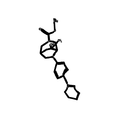 CC(C)(C)OC(=O)N1CC2CN(c3ccc(N4CCCCC4)cc3)C(C1)C(C)(C)C2